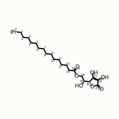 CC(C)CCCCCCCCCCCCCCC(=O)OC[C@H](O)[C@H]1OC(=O)C(O)=C1O